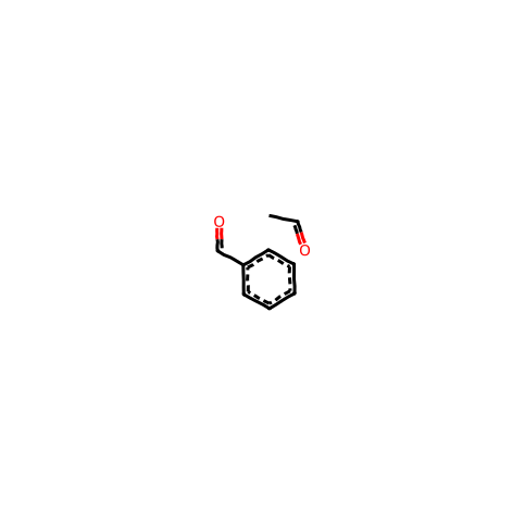 CC=O.O=Cc1ccccc1